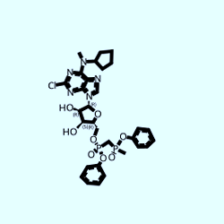 CN(c1nc(Cl)nc2c1ncn2[C@@H]1O[C@H](COP(=O)(CP(C)(=O)Oc2ccccc2)Oc2ccccc2)[C@@H](O)[C@H]1O)C1CCCC1